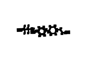 CC(C)(O)C(C)(C)OBc1ccc(C2CCN(CCO)CC2)cc1